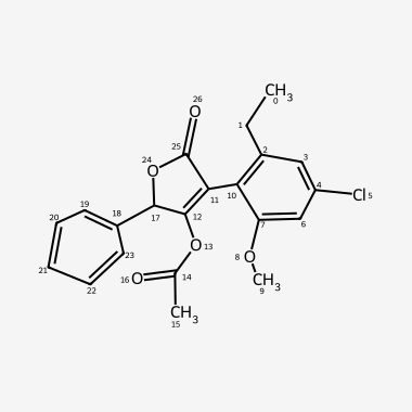 CCc1cc(Cl)cc(OC)c1C1=C(OC(C)=O)C(c2ccccc2)OC1=O